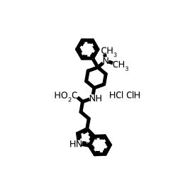 CN(C)C1(c2ccccc2)CCC(NC(CCc2c[nH]c3ccccc23)C(=O)O)CC1.Cl.Cl